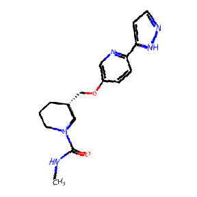 CNC(=O)N1CCC[C@H](COc2ccc(-c3ccn[nH]3)nc2)C1